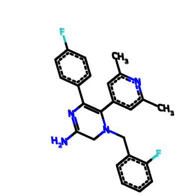 Cc1cc(C2=C(c3ccc(F)cc3)N=C(N)CN2Cc2ccccc2F)cc(C)n1